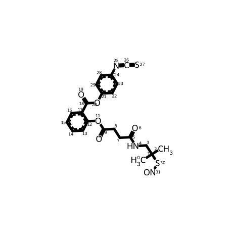 CC(C)(CNC(=O)CCC(=O)Oc1ccccc1C(=O)Oc1ccc(N=C=S)cc1)SN=O